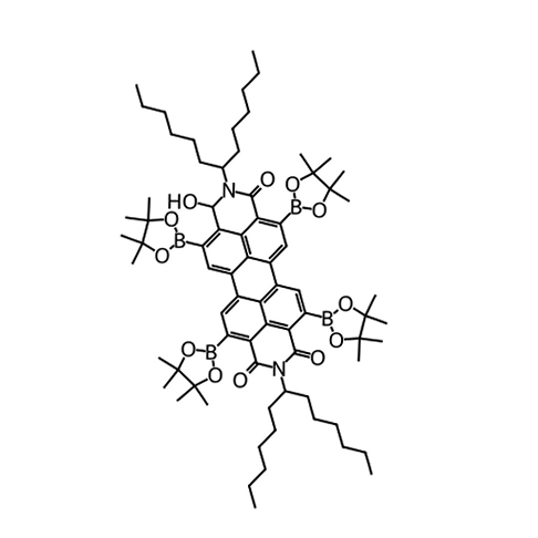 CCCCCCC(CCCCCC)N1C(=O)c2c(B3OC(C)(C)C(C)(C)O3)cc3c4cc(B5OC(C)(C)C(C)(C)O5)c5c6c(c(B7OC(C)(C)C(C)(C)O7)cc(c7cc(B8OC(C)(C)C(C)(C)O8)c(c2c37)C1=O)c64)C(O)N(C(CCCCCC)CCCCCC)C5=O